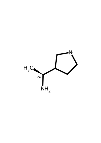 C[C@H](N)C1CC[N]C1